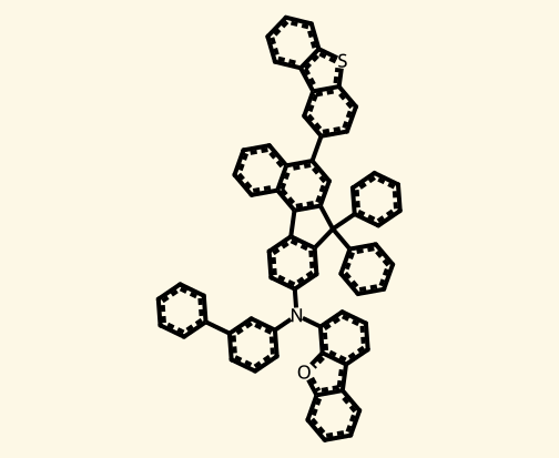 c1ccc(-c2cccc(N(c3ccc4c(c3)C(c3ccccc3)(c3ccccc3)c3cc(-c5ccc6sc7ccccc7c6c5)c5ccccc5c3-4)c3cccc4c3oc3ccccc34)c2)cc1